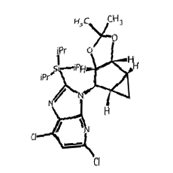 CC(C)[Si](c1nc2c(Cl)cc(Cl)nc2n1[C@@H]1[C@H]2C[C@H]2[C@H]2OC(C)(C)O[C@H]21)(C(C)C)C(C)C